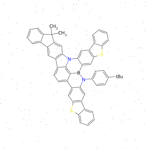 CC(C)(C)c1ccc(N2B3c4cc5sc6ccccc6c5cc4-n4c5cc6c(cc5c5ccc(c3c54)-c3cc4sc5ccccc5c4cc32)-c2ccccc2C6(C)C)cc1